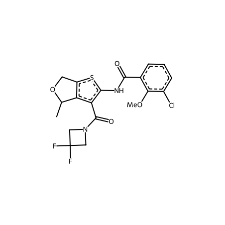 COc1c(Cl)cccc1C(=O)Nc1sc2c(c1C(=O)N1CC(F)(F)C1)C(C)OC2